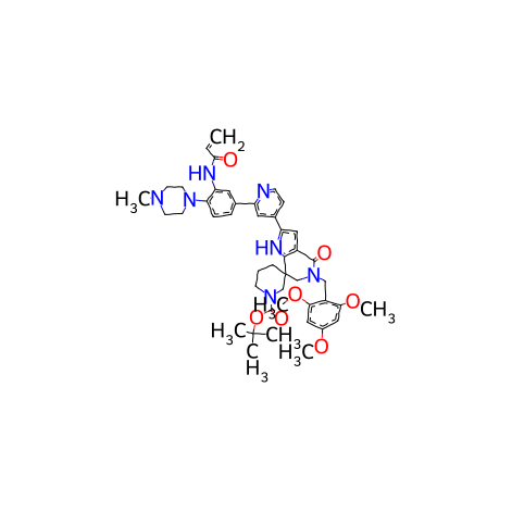 C=CC(=O)Nc1cc(-c2cc(-c3cc4c([nH]3)C3(CCCN(C(=O)OC(C)(C)C)C3)CN(Cc3c(OC)cc(OC)cc3OC)C4=O)ccn2)ccc1N1CCN(C)CC1